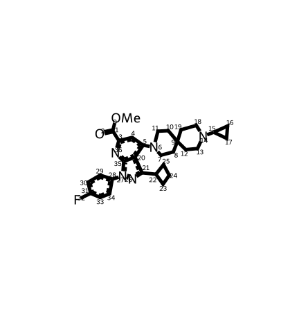 COC(=O)c1cc(N2CCC3(CC2)CCN(C2CC2)CC3)c2c(C3CCC3)nn(-c3ccc(F)cc3)c2n1